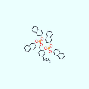 O=[N+]([O-])c1ccc(COP(Oc2ccc3ccccc3c2)Oc2ccc3ccccc3c2)c(OP(Oc2ccc3ccccc3c2)Oc2ccc3ccccc3c2)c1